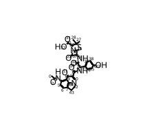 CC(=O)Nc1ccc2c3c1c(=O)c(C(=O)NC(C(=O)NC1C(=O)N4C1SC(C)(C)C4C(=O)O)c1ccc(O)cc1)cn3CC2